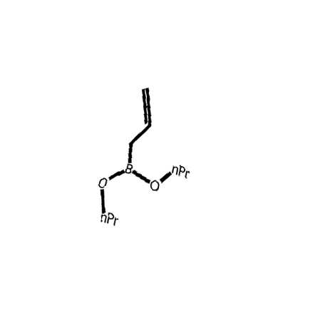 C=CCB(OCCC)OCCC